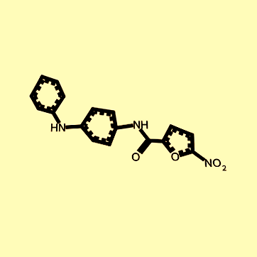 O=C(Nc1ccc(Nc2ccccc2)cc1)c1ccc([N+](=O)[O-])o1